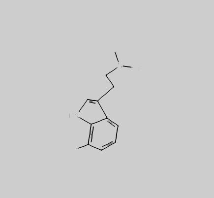 CCN(C)CCc1c[nH]c2c(Cl)cccc12